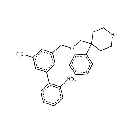 O=[N+]([O-])c1ccccc1-c1cc(COCC2(c3ccccc3)CCNCC2)cc(C(F)(F)F)c1